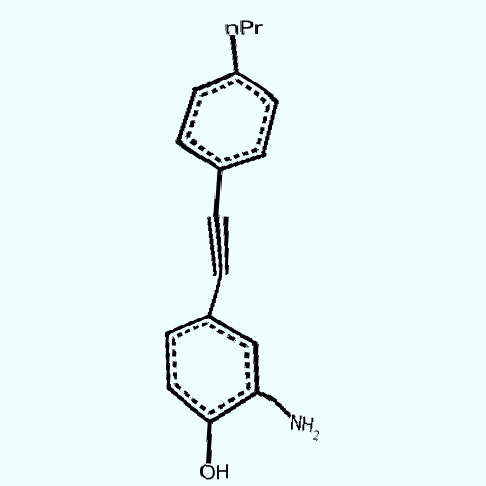 CCCc1ccc(C#Cc2ccc(O)c(N)c2)cc1